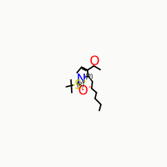 CCCCCC[C@@H]1C(C(C)=O)=CCN1[S@@+]([O-])C(C)(C)C